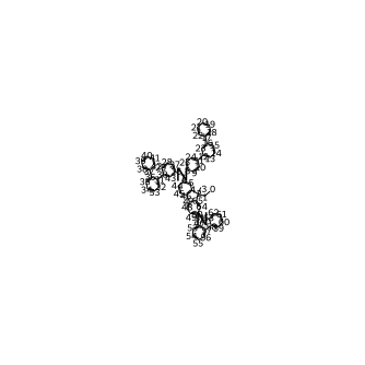 CCC1(C)c2cc(N(c3ccc(-c4cccc(-c5ccccc5)c4)cc3)c3cccc(-c4ccccc4-c4ccccc4)c3)ccc2-c2ccc(-n3c4ccccc4c4ccccc43)cc21